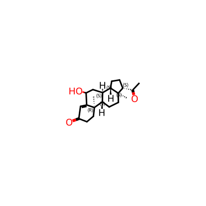 CC(=O)[C@H]1CC[C@H]2[C@@H]3CC(O)C4=CC(=O)CC[C@]4(C)[C@H]3CC[C@]12C